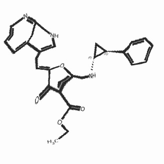 CCOC(=O)C1=C(N[C@@H]2C[C@H]2c2ccccc2)OC(=Cc2c[nH]c3ncccc23)C1=O